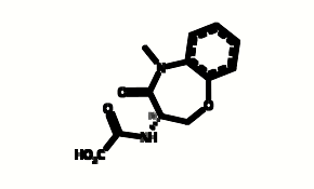 CN1C(=O)[C@@H](NC(=O)C(=O)O)COc2ccccc21